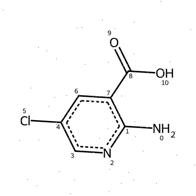 Nc1ncc(Cl)cc1C(=O)O